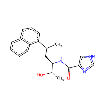 CC(C[C@@H](NC(=O)c1c[nH]cn1)[C@H](C)O)c1cccc2ccccc12